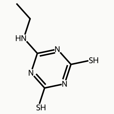 CCNc1nc(S)nc(S)n1